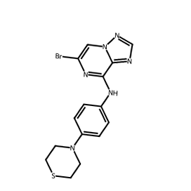 Brc1cn2ncnc2c(Nc2ccc(N3CCSCC3)cc2)n1